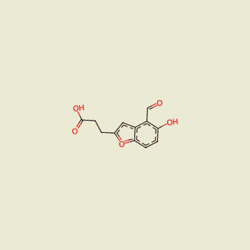 O=Cc1c(O)ccc2oc(CCC(=O)O)cc12